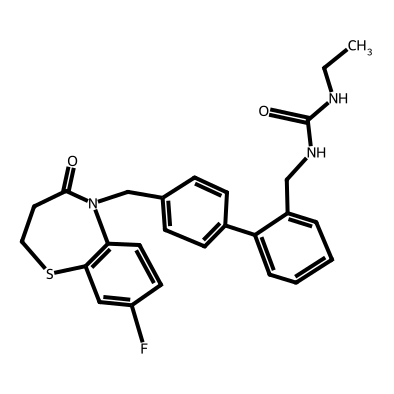 CCNC(=O)NCc1ccccc1-c1ccc(CN2C(=O)CCSc3cc(F)ccc32)cc1